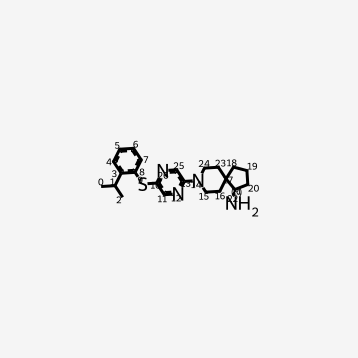 CC(C)c1ccccc1Sc1cnc(N2CCC3(CCC[C@H]3N)CC2)cn1